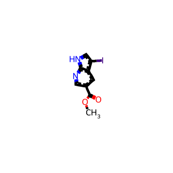 COC(=O)c1cnc2[nH]cc(I)c2c1